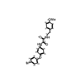 COc1ccc(CCNC(=O)C(=O)Nc2ccc(Oc3ccc(Br)cc3)cc2)cc1